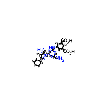 Cc1c(-c2ccccc2)nn(-c2nc(N)nc(Nc3cc(C(=O)O)cc(C(=O)O)c3)n2)c1N